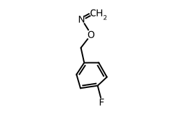 C=NOCc1ccc(F)cc1